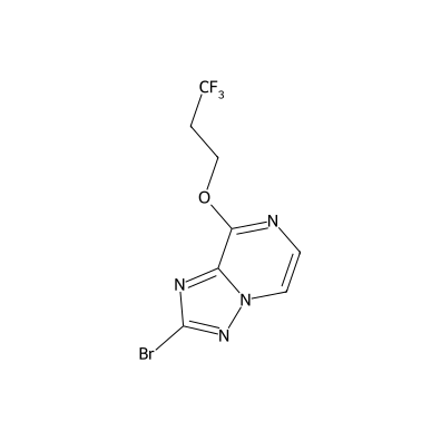 FC(F)(F)CCOc1nccn2nc(Br)nc12